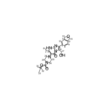 CCc1[nH]c2nc(-c3ccc4c(c3)COC4)c(CO)n2c(=O)c1N1CCN(C(=O)OC(C)(C)C)CC1